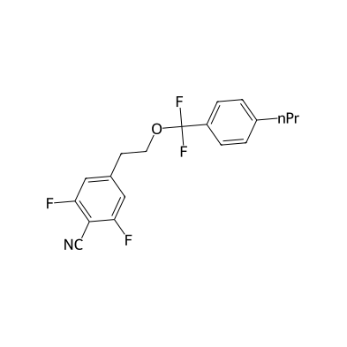 CCCc1ccc(C(F)(F)OCCc2cc(F)c(C#N)c(F)c2)cc1